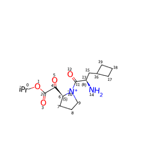 CC(C)OC(=O)C(=O)[C@@H]1CCC[N+]1C(=O)[C@H](N)CC1CCC1